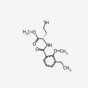 CCc1cccc(C(=O)N[C@@H](CCS)C(=O)OC)c1OC